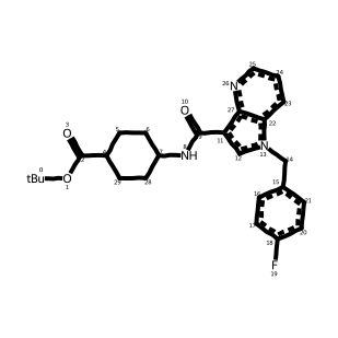 CC(C)(C)OC(=O)C1CCC(NC(=O)c2cn(Cc3ccc(F)cc3)c3cccnc23)CC1